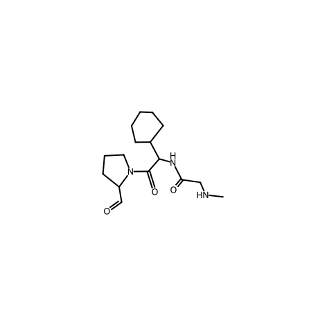 CNCC(=O)NC(C(=O)N1CCCC1C=O)C1CCCCC1